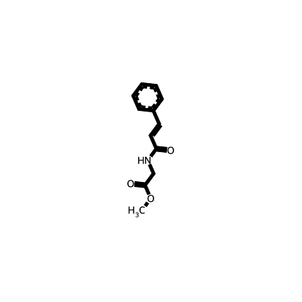 COC(=O)CNC(=O)C=Cc1ccccc1